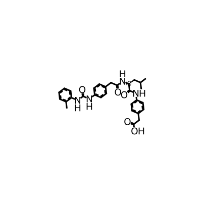 Cc1ccccc1NC(=O)Nc1ccc(CC(=O)N[C@@H](CC(C)C)C(=O)Nc2ccc(CC(=O)O)cc2)cc1